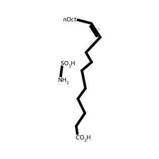 CCCCCCCC/C=C\CCCCCCCC(=O)O.NS(=O)(=O)O